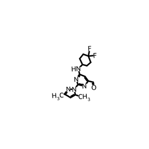 Cc1cc(C)n(-c2nc(C=O)cc(NC3CCC(F)(F)CC3)n2)n1